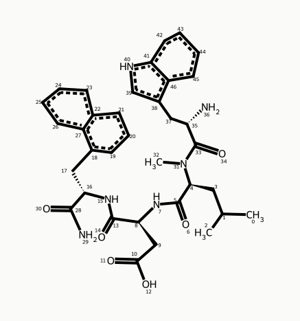 CC(C)C[C@@H](C(=O)N[C@@H](CC(=O)O)C(=O)N[C@@H](Cc1cccc2ccccc12)C(N)=O)N(C)C(=O)[C@@H](N)Cc1c[nH]c2ccccc12